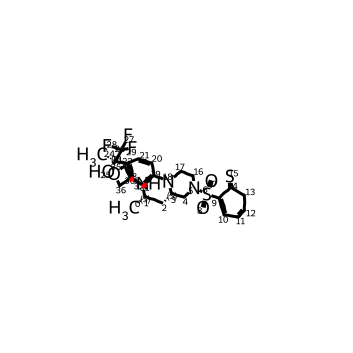 C[C@@H](C[C@H]1CN(S(=O)(=O)C2=CC=CCC2=S)CCN1c1ccc([C@@](C)(O)C(F)(F)F)cc1)NC1COC1